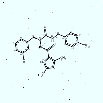 Cc1cc(C)c(C(=O)N[C@@H](Cc2cccc(Cl)c2)C(=O)NCc2ccc(N)nc2)[nH]1